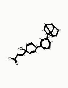 O=C(O)/C=C/C1(O)C=CC(c2cccc(C34CC5CC(CC(C5)C3)C4)c2)C=C1